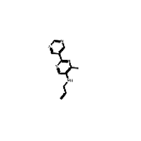 C=CCNc1cnc(-c2cncnc2)nc1C